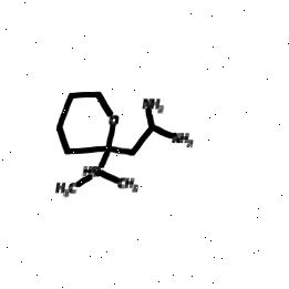 C[SiH](C)C1(CC(N)N)CCCCO1